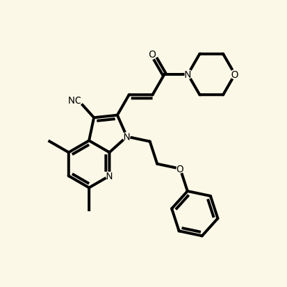 Cc1cc(C)c2c(C#N)c(C=CC(=O)N3CCOCC3)n(CCOc3ccccc3)c2n1